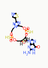 Nc1nc2c(ncn2C2O[C@@H]3COP(=O)(S)OCCn4nc(-c5cncs5)nc4COP(=O)(S)O[C@@H]2[C@@H]3F)c(=O)[nH]1